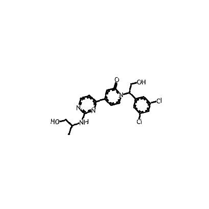 CC(CO)Nc1nccc(-c2ccn(C(CO)c3cc(Cl)cc(Cl)c3)c(=O)c2)n1